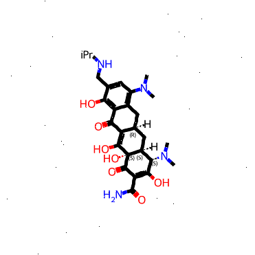 CC(C)NCc1cc(N(C)C)c2c(c1O)C(=O)C1=C(O)[C@]3(O)C(=O)C(C(N)=O)=C(O)[C@@H](N(C)C)[C@@H]3C[C@@H]1C2